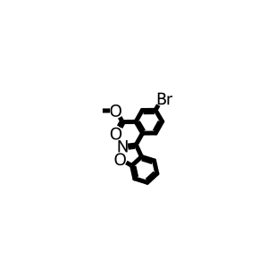 COC(=O)c1cc(Br)ccc1-c1noc2ccccc12